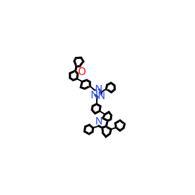 c1ccc(-c2nc(-c3ccc(-c4cccc5c4oc4ccccc45)cc3)nc(-c3cccc(-c4cccc5c4nc(-c4ccccc4)c4cccc(-c6ccccc6)c45)c3)n2)cc1